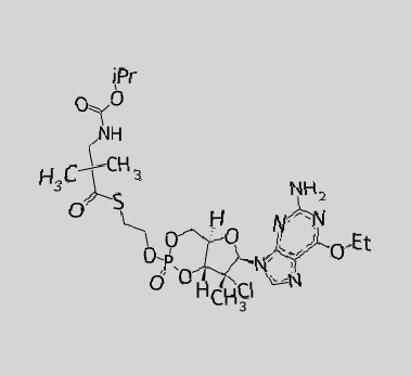 CCOc1nc(N)nc2c1ncn2[C@@H]1O[C@@H]2COP(=O)(OCCSC(=O)C(C)(C)CNC(=O)OC(C)C)O[C@H]2[C@@]1(C)Cl